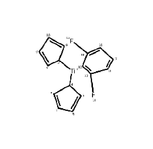 C1=C[CH]([Ti][CH]2C=CC=C2)C=C1.Fc1[c]c(F)ccc1